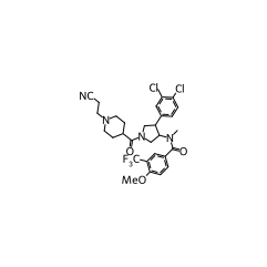 COc1ccc(C(=O)N(C)C2CN(C(=O)C3CCN(CCC#N)CC3)CC2c2ccc(Cl)c(Cl)c2)cc1C(F)(F)F